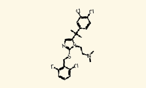 CN(C)CCn1c(C(C)(C)c2ccc(Cl)c(Cl)c2)cnc1SCc1c(F)cccc1Cl